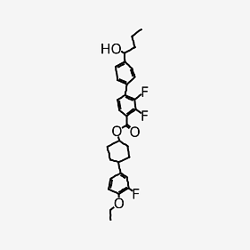 CCCC(O)c1ccc(-c2ccc(C(=O)OC3CCC(c4ccc(OCC)c(F)c4)CC3)c(F)c2F)cc1